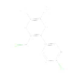 CC1=C(C)CC(c2ccc(Cl)cc2)=C(CCl)C1